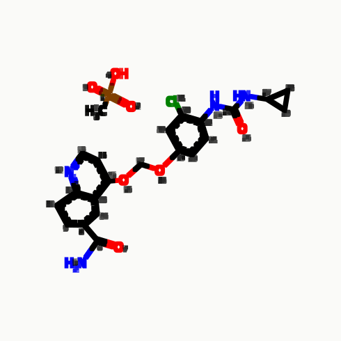 CS(=O)(=O)O.NC(=O)c1ccc2nccc(OCOc3ccc(NC(=O)NC4CC4)c(Cl)c3)c2c1